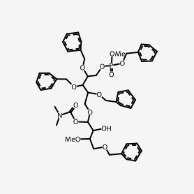 COC(COCc1ccccc1)C(O)C(OCC(OCc1ccccc1)C(OCc1ccccc1)C(COP(=O)(OC)OCc1ccccc1)OCc1ccccc1)OC(=O)N(C)C